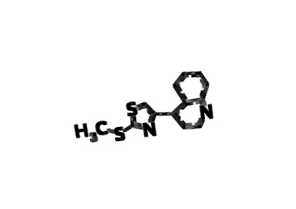 CSc1nc(-c2ccnc3ccccc23)cs1